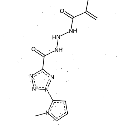 C=C(C)C(=O)NNNC(=O)c1nnn(-c2cccn2C)n1